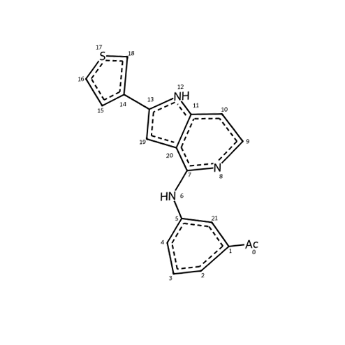 CC(=O)c1cccc(Nc2nccc3[nH]c(-c4ccsc4)cc23)c1